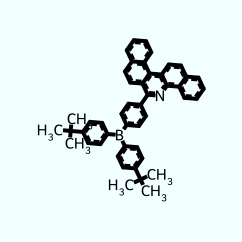 CC(C)(C)c1ccc(B(c2ccc(-c3nc4c5ccccc5ccc4c4c3ccc3ccccc34)cc2)c2ccc(C(C)(C)C)cc2)cc1